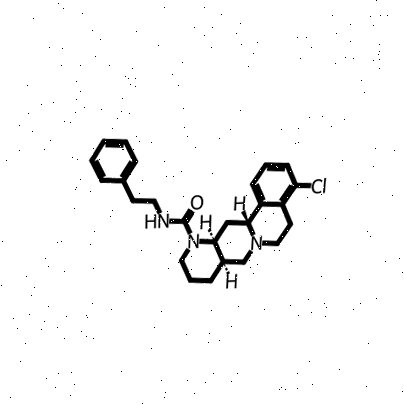 O=C(NCCc1ccccc1)N1CCC[C@@H]2CN3CCc4c(Cl)cccc4[C@H]3C[C@@H]21